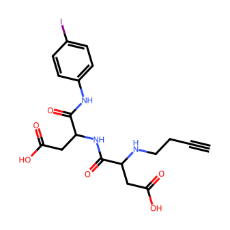 C#CCCNC(CC(=O)O)C(=O)NC(CC(=O)O)C(=O)Nc1ccc(I)cc1